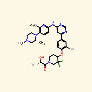 COc1nc(Nc2cc(-c3ccc(OC4CCN(C(=O)[C@H](C)O)CC4(F)F)c(C#N)c3)ncn2)ccc1N1CCN(C)C[C@H]1C